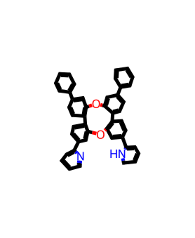 C1=CCNC(c2ccc3c(c2)Oc2cc(-c4ccccn4)ccc2-c2ccc(-c4ccccc4)cc2Oc2cc(-c4ccccc4)ccc2-3)=C1